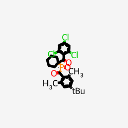 Cc1cc(C(C)(C)C)cc(C)c1C(=O)[P](=O)C1(C(=O)c2c(Cl)cc(Cl)cc2Cl)CCCCC1